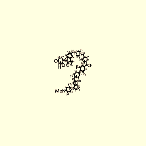 CNc1cc(=O)n(-c2ccnc3c2cc([C@H](C)N2CC=C(c4c(C)cc(C(=O)N5CCC(CN6CCN(Cc7ccc8c(c7)C7(CC7)C(=O)N8[C@@H]7CCC(=O)NC7=O)C[C@@H]6C)CC5)cc4F)CC2)n3C)cc1F